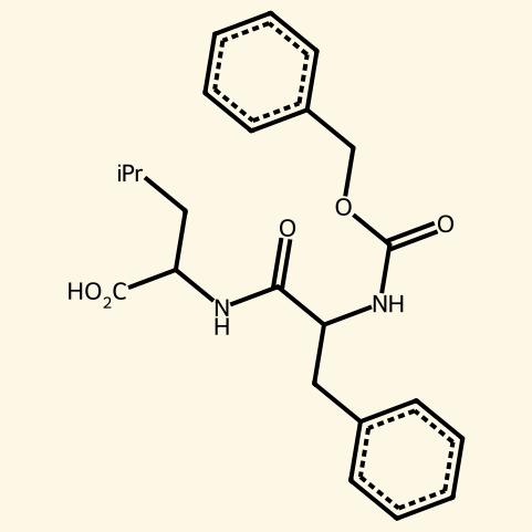 CC(C)CC(NC(=O)C(Cc1ccccc1)NC(=O)OCc1ccccc1)C(=O)O